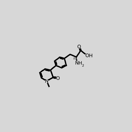 Cn1cccc(-c2ccc(C[C@H](N)C(=O)O)cc2)c1=O